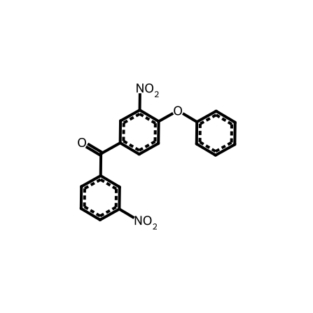 O=C(c1cccc([N+](=O)[O-])c1)c1ccc(Oc2ccccc2)c([N+](=O)[O-])c1